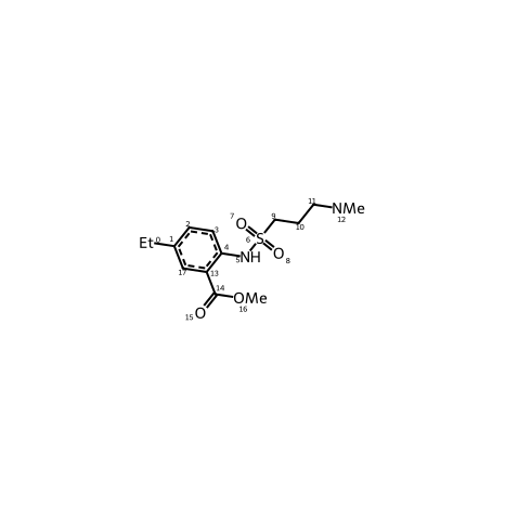 CCc1ccc(NS(=O)(=O)CCCNC)c(C(=O)OC)c1